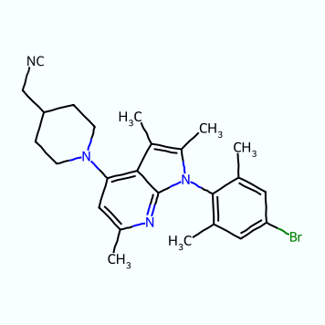 [C-]#[N+]CC1CCN(c2cc(C)nc3c2c(C)c(C)n3-c2c(C)cc(Br)cc2C)CC1